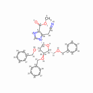 COC(=O)c1ncn([C@@H]2O[C@H](COCc3ccccc3)[C@@H](OCc3ccccc3)[C@@H]2OCc2ccccc2)c1CC#N